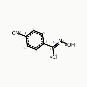 [C-]#[N+]c1ccc(/C(Cl)=N/O)cc1